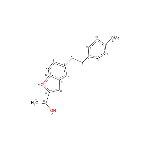 COc1ccc(CCc2ccc3oc(C(C)O)cc3c2)cc1